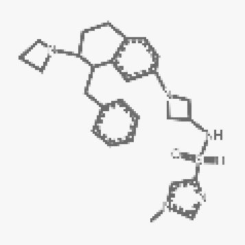 Cn1cnc(S(=O)(=O)NC2CN(c3ccc4c(c3)C(Cc3ccccc3)C(N3CCC3)CC4)C2)c1